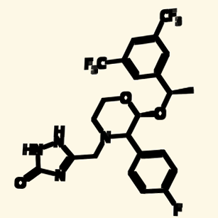 C[C@@H](O[C@@H]1OCCN(Cc2nc(=O)[nH][nH]2)C1c1ccc(F)cc1)c1cc(C(F)(F)F)cc(C(F)(F)F)c1